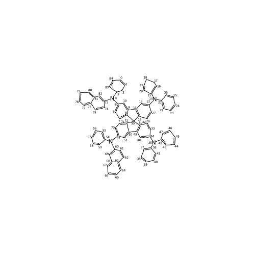 C1=CCC(N(c2ccc3c(c2)-c2cc(N(C4=CCCC=C4)c4ccccc4)ccc2C32c3ccc(N(c4ccccc4)c4ccccc4)cc3-c3cc(N(c4ccccc4)c4ccc5ccccc5c4)ccc32)c2ccc3ccccc3c2)C=C1